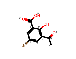 CC(=O)c1cc(Br)cc(C(=O)O)c1O